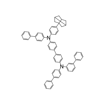 c1ccc(-c2ccc(N(c3ccc(-c4ccc(N(c5ccc(-c6ccccc6)cc5)c5cccc(-c6ccccc6)c5)cc4)cc3)c3ccc(C45CC6CC4CC6C5)cc3)cc2)cc1